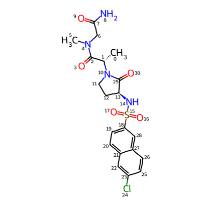 C[C@@H](C(=O)N(C)CC(N)=O)N1CC[C@H](NS(=O)(=O)c2ccc3cc(Cl)ccc3c2)C1=O